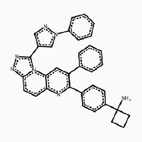 NC1(c2ccc(-c3nc4ccc5nnc(-c6cnn(-c7ccccc7)c6)n5c4cc3-c3ccccc3)cc2)CCC1